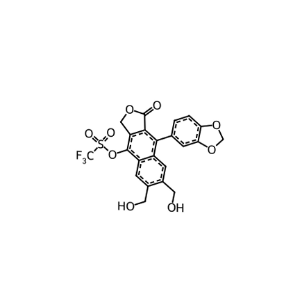 O=C1OCc2c1c(-c1ccc3c(c1)OCO3)c1cc(CO)c(CO)cc1c2OS(=O)(=O)C(F)(F)F